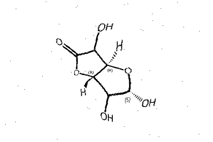 O=C1O[C@H]2C(O)[C@@H](O)O[C@@H]2C1O